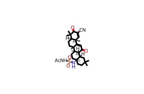 CC(=O)NS(=O)(=O)N[C@]12CCC(C)(C)C[C@H]1[C@H]1C(=O)C=C3[C@@]4(C)C=C(C#N)C(=O)C(C)(C)[C@@H]4CC[C@@]3(C)[C@]1(C)CC2